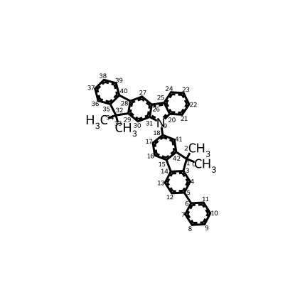 CC1(C)c2cc(-c3ccccc3)ccc2-c2ccc(-n3c4ccccc4c4cc5c(cc43)C(C)(C)c3ccccc3-5)cc21